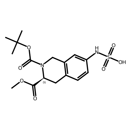 COC(=O)[C@@H]1Cc2ccc(NS(=O)(=O)O)cc2CN1C(=O)OC(C)(C)C